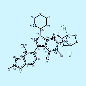 CC[C@@H]1C[C@@H]2CC[C@H]1N2c1nc2c(c(-c3ccc4nn(C)cc4c3Cl)nn2C2CCCCO2)c(=O)n1C